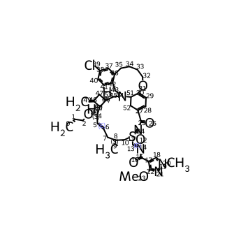 C=CCO[C@H]1/C=C/C[C@H](C)CS(=O)(/C=N/C(=O)c2cn(C)nc2OC)=NC(=O)C2=CC=C3OCCCCc4cc(Cl)ccc4CN(C[C@@H]4CC(=C)[C@H]41)C3C2